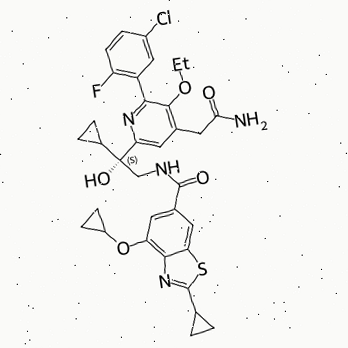 CCOc1c(CC(N)=O)cc([C@@](O)(CNC(=O)c2cc(OC3CC3)c3nc(C4CC4)sc3c2)C2CC2)nc1-c1cc(Cl)ccc1F